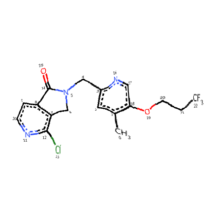 Cc1cc(CN2Cc3c(ccnc3Cl)C2=O)ncc1OCCC(F)(F)F